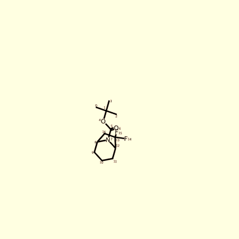 CC(C)(C)OC(=O)N1C2CCCC1C(F)(F)C2